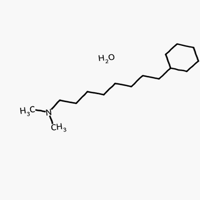 CN(C)CCCCCCCCC1CCCCC1.O